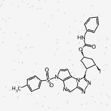 Cc1ccc(S(=O)(=O)n2ccc3c2ncc2nnc([C@H]4C[C@@H](OC(=O)Nc5ccccc5)C[C@H]4I)n23)cc1